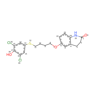 O=C1CCc2cc(OCCCCSc3cc(Cl)c(O)c(Cl)c3)ccc2N1